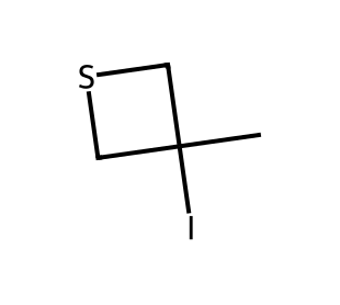 CC1(I)CSC1